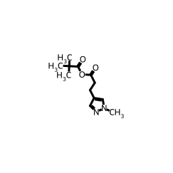 Cn1cc(CCC(=O)OC(=O)C(C)(C)C)cn1